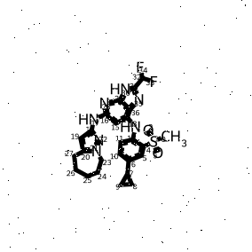 CS(=O)(=O)c1cc(C2CC2)ccc1Nc1cc(Nc2cc3n(n2)CCCCC3)nc2[nH]c(C(F)F)nc12